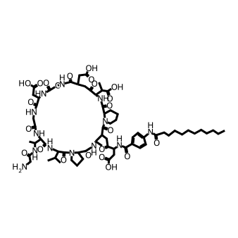 CCCCCCCCCCCC(=O)Nc1ccc(C(=O)NC(CC(=O)O)C(=O)CC2C(=O)N3CCCCC3C(=O)NC(C(C)C(=O)O)C(=O)CC(CC(=O)O)C(=O)NCC(=O)NC(CC(=O)O)C(=O)NCC(=O)NC(C(C)NC(=O)CN)C(=O)NC(C(C)C)C(=O)N3CCCC3C(=O)NC2C)cc1